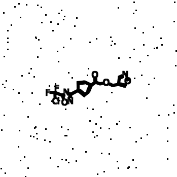 O=C(COCc1cnoc1)c1ccc(-c2noc(C(F)(F)Cl)n2)cc1